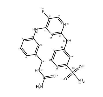 NC(=O)NCc1cccc(Nc2nc(Nc3cccc(S(N)(=O)=O)c3)ncc2F)c1